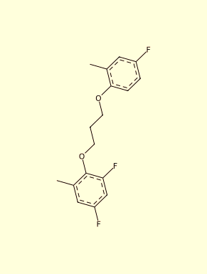 Cc1cc(F)ccc1OCCCOc1c(C)cc(F)cc1F